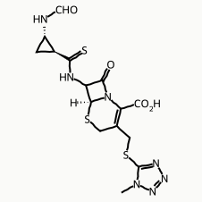 Cn1nnnc1SCC1=C(C(=O)O)N2C(=O)C(NC(=S)[C@H]3C[C@@H]3NC=O)[C@@H]2SC1